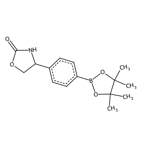 CC1(C)OB(c2ccc(C3COC(=O)N3)cc2)OC1(C)C